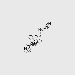 Cc1nn2cccnc2c1C(=O)NC(C)c1nc2cccc(C#Cc3cnn(CCN4CCN(C)CC4)c3)c2c(=O)n1-c1ccccc1